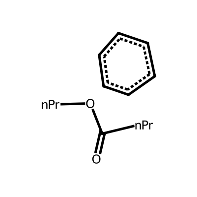 CCCOC(=O)CCC.c1ccccc1